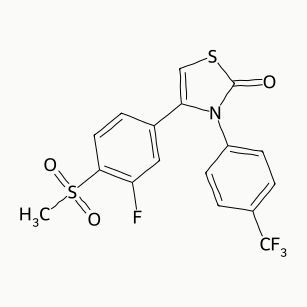 CS(=O)(=O)c1ccc(-c2csc(=O)n2-c2ccc(C(F)(F)F)cc2)cc1F